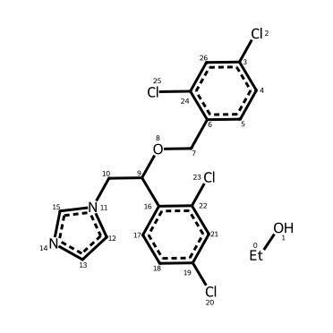 CCO.Clc1ccc(COC(Cn2ccnc2)c2ccc(Cl)cc2Cl)c(Cl)c1